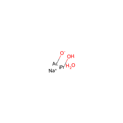 CC(=O)[O-].CC(C)O.O.[Na+]